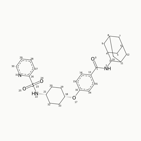 O=C(NC1C2CC3CC(C2)CC1C3)c1ccc(O[C@H]2CC[C@@H](NS(=O)(=O)c3ccccn3)CC2)cc1